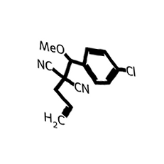 C=CCC(C#N)(C#N)C(OC)c1ccc(Cl)cc1